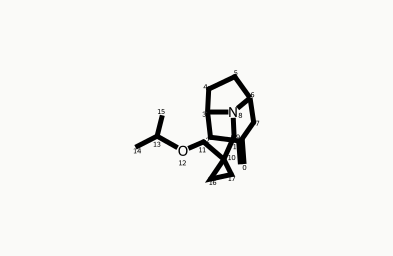 C=C1CC2CCC(C1)N2CC1(COC(C)C)CC1